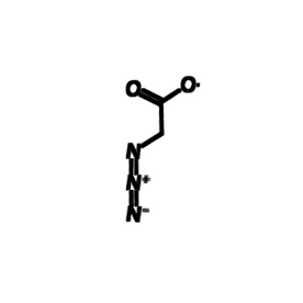 [N-]=[N+]=NCC([O])=O